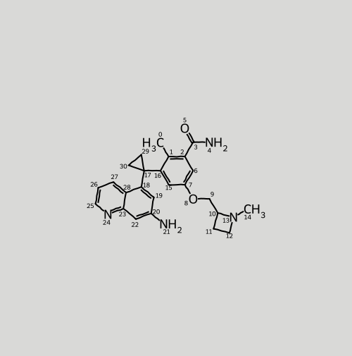 Cc1c(C(N)=O)cc(OCC2CCN2C)cc1C1(c2cc(N)cc3ncccc23)CC1